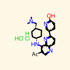 CC(=O)c1cnc2ccc(-c3ccc(O)nc3)nc2c1N[C@H]1CC[C@H](CN(C)C)CC1.Cl.Cl